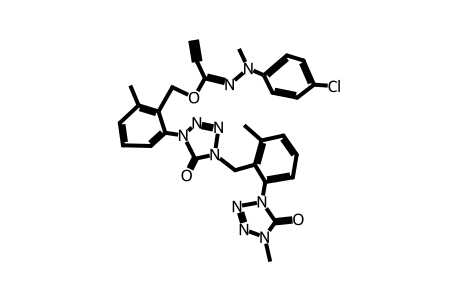 C#C/C(=N\N(C)c1ccc(Cl)cc1)OCc1c(C)cccc1-n1nnn(Cc2c(C)cccc2-n2nnn(C)c2=O)c1=O